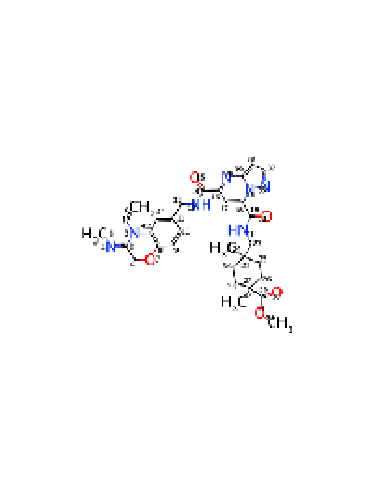 C=CN1/C(=N\C)COc2ccc(CNC(=O)c3cc(C(=O)NCC4(C)CCC(C)(C(=O)OC)CC4)n4nccc4n3)cc21